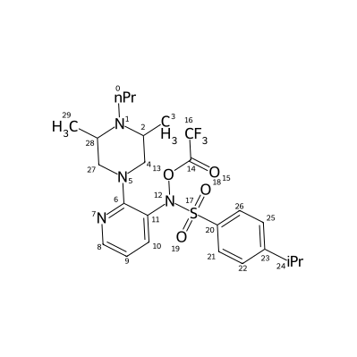 CCCN1C(C)CN(c2ncccc2N(OC(=O)C(F)(F)F)S(=O)(=O)c2ccc(C(C)C)cc2)CC1C